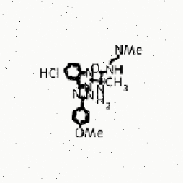 CNCCNC(=O)[C@@](C)(N)c1nc2ccccc2c2nc(-c3ccc(OC)cc3)nn12.Cl